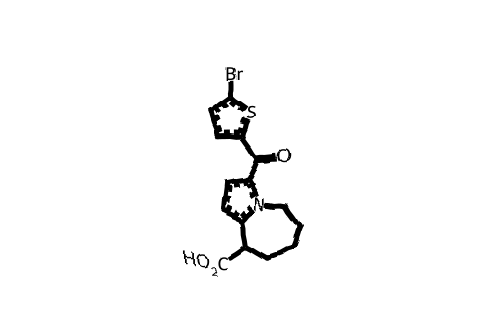 O=C(c1ccc(Br)s1)c1ccc2n1CCCCC2C(=O)O